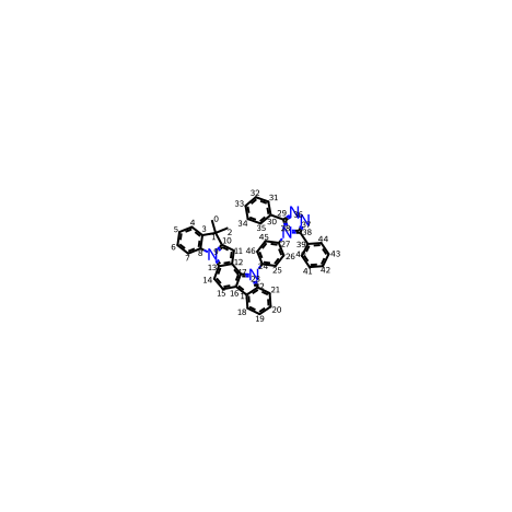 CC1(C)c2ccccc2-n2c1cc1c2ccc2c3ccccc3n(-c3ccc(-n4c(-c5ccccc5)nnc4-c4ccccc4)cc3)c21